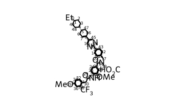 CC[C@H]1CC[C@H](C2CC=C(c3cnc(-c4ccc(CN(CC(=O)O)C(=O)c5ccc(NC(=O)Cc6ccc(OC)cc6C(F)(F)F)c(OC)c5)cc4)nc3)CC2)CC1